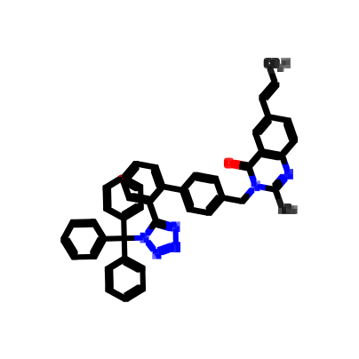 CCCCc1nc2ccc(C=CC(=O)O)cc2c(=O)n1Cc1ccc(-c2ccccc2-c2nnnn2C(c2ccccc2)(c2ccccc2)c2ccccc2)cc1